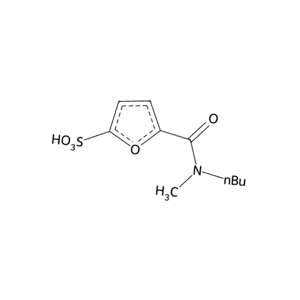 CCCCN(C)C(=O)c1ccc(S(=O)(=O)O)o1